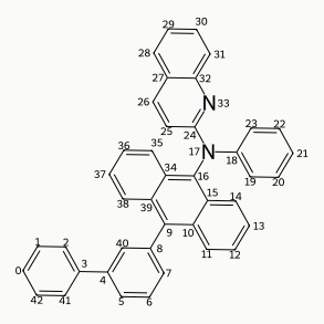 c1ccc(-c2cccc(-c3c4ccccc4c(N(c4ccccc4)c4ccc5ccccc5n4)c4ccccc34)c2)cc1